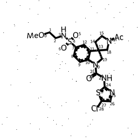 COCCNS(=O)(=O)c1ccc2c(c1)C1(CCN(C(C)=O)C1)CN2C(=O)Nc1ncc(Cl)s1